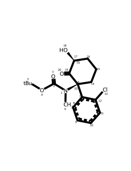 CN(C(=O)OC(C)(C)C)[C@]1(c2ccccc2Cl)CCC[C@H](O)C1=O